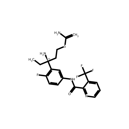 C=C(N)SCC[C@@](N)(CC)c1cc(NC(=O)c2ncccc2C(F)(F)F)ccc1F